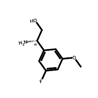 COc1cc(F)cc([C@H](N)CO)c1